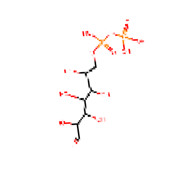 O=CC(O)C(O)C(O)C(O)C(O)COP(=O)(O)OP(=O)(O)O